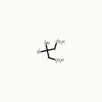 CCC(O)(CC(=O)O)CC(=O)O